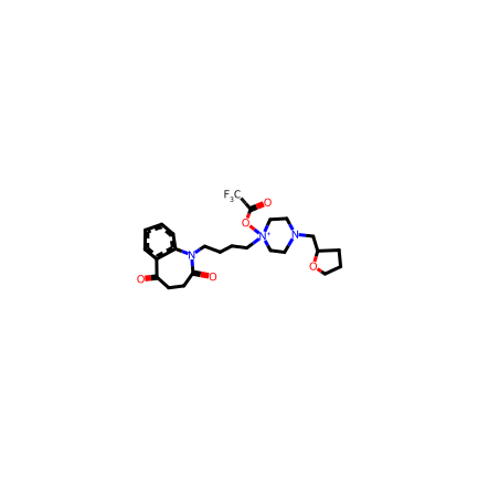 O=C1CCC(=O)N(CCCC[N+]2(OC(=O)C(F)(F)F)CCN(CC3CCCO3)CC2)c2ccccc21